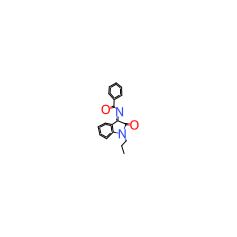 CCCN1C(=O)/C(=N/C(=O)c2ccccc2)c2ccccc21